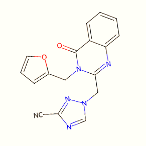 N#Cc1ncn(Cc2nc3ccccc3c(=O)n2Cc2ccco2)n1